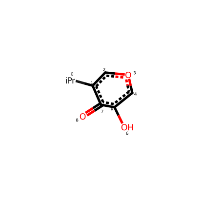 CC(C)c1cocc(O)c1=O